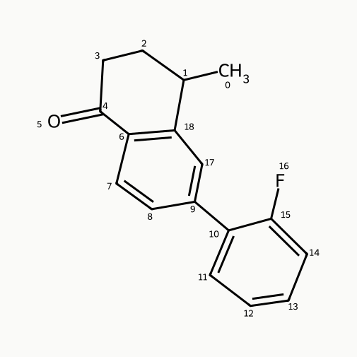 CC1CCC(=O)c2ccc(-c3ccccc3F)cc21